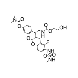 CNS(=O)(=O)Nc1cccc(Cc2c(CNC(=O)OCCO)c3ccc(OC(=O)N(C)C)cc3oc2=O)c1F